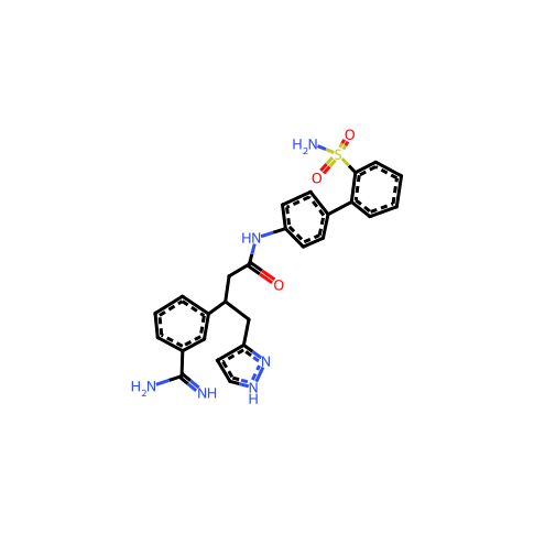 N=C(N)c1cccc(C(CC(=O)Nc2ccc(-c3ccccc3S(N)(=O)=O)cc2)Cc2cc[nH]n2)c1